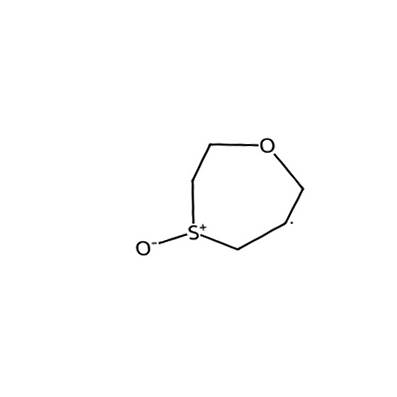 [O-][S+]1C[CH]COCC1